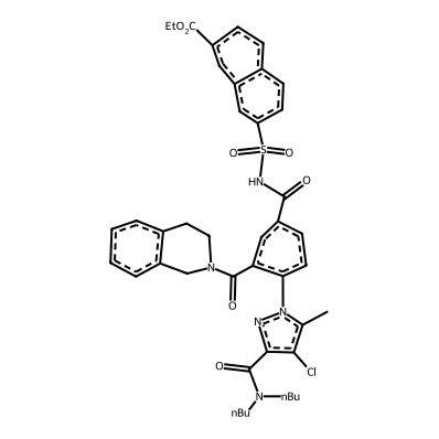 CCCCN(CCCC)C(=O)c1nn(-c2ccc(C(=O)NS(=O)(=O)c3ccc4ccc(C(=O)OCC)cc4c3)cc2C(=O)N2CCc3ccccc3C2)c(C)c1Cl